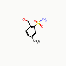 NS(=O)(=O)c1cc(S(=O)(=O)O)ccc1C[O]